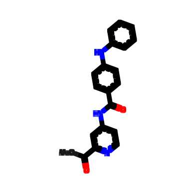 COC(=O)c1cc(NC(=O)c2ccc(Nc3ccccc3)cc2)ccn1